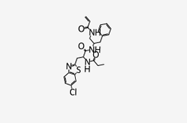 C=CC(=O)NCC(Cc1ccccc1)NC(=O)C(Cc1nc2ccc(Cl)cc2s1)NC(=O)CC